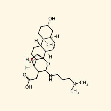 CN(C)CCCN[C@@H]1O[C@]23CC[C@H]([C@@H]1CC(=O)O)[C@@]2(C)CC[C@H]1[C@H]3CC[C@@H]2C[C@@H](O)CC[C@@]21C